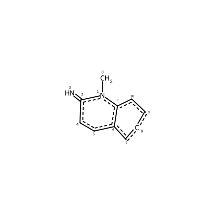 Cn1c(=N)ccc2ccccc21